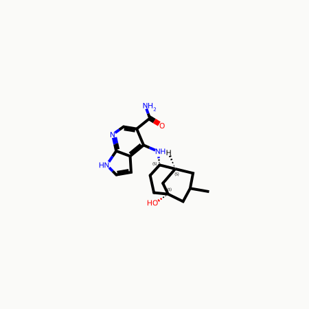 CC1C[C@H]2C[C@](O)(CC[C@@H]2Nc2c(C(N)=O)cnc3[nH]ccc23)C1